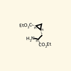 CCOC(=O)[C@H](N)C[C@H]1C[C@H]1C(=O)OCC